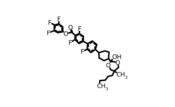 CCCCCC1(C)COC(O)(C2CCC(c3ccc(-c4cc(F)c(C(=O)Oc5cc(F)c(F)c(F)c5)c(F)c4)c(F)c3)CC2)OC1